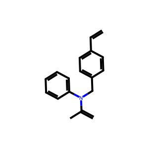 C=Cc1ccc(CN(C(=C)C)c2ccccc2)cc1